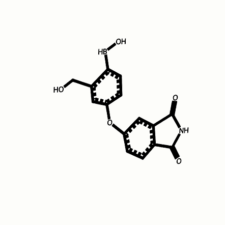 O=C1NC(=O)c2cc(Oc3ccc(BO)c(CO)c3)ccc21